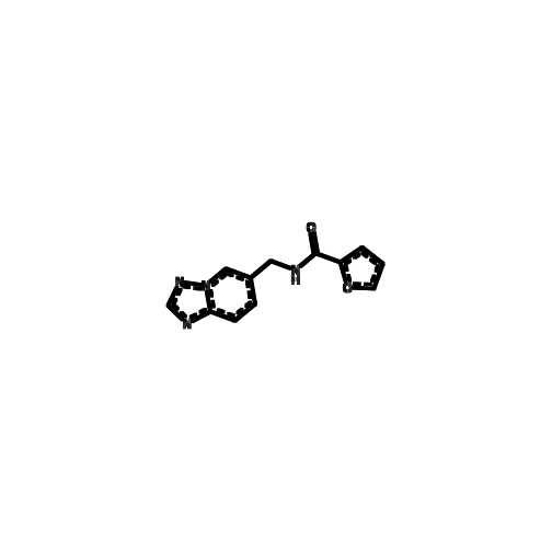 O=C(NCc1ccc2ncnn2c1)c1ccco1